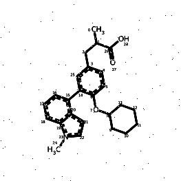 CC(Cc1ccc(OC2CCCCC2)c(-c2cccc3c2ccn3C)c1)C(=O)O